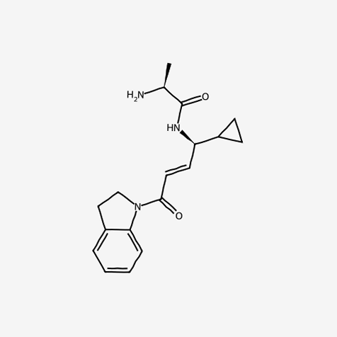 C[C@H](N)C(=O)N[C@H](C=CC(=O)N1CCc2ccccc21)C1CC1